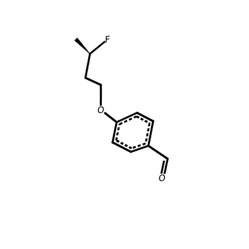 C[C@@H](F)CCOc1ccc(C=O)cc1